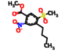 CCCCc1cc([N+](=O)[O-])c(C(=O)OC)cc1S(C)(=O)=O